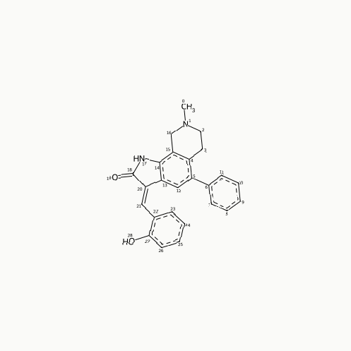 CN1CCc2c(-c3ccccc3)cc3c(c2C1)NC(=O)/C3=C/c1ccccc1O